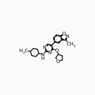 Cc1noc2ccc(-c3cnc(NC4CCC(C)CC4)nc3OC3CCOC3)cc12